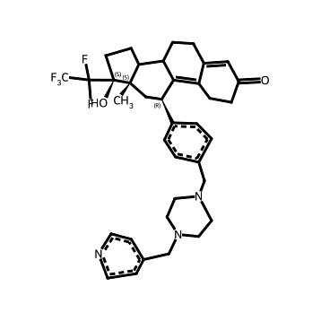 C[C@]12C[C@H](c3ccc(CN4CCN(Cc5ccncc5)CC4)cc3)C3=C4CCC(=O)C=C4CCC3C1CC[C@@]2(O)C(F)(F)C(F)(F)F